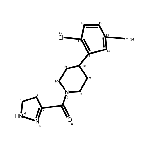 O=C(C1=NNCC1)N1CCC(c2cc(F)ccc2Cl)CC1